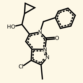 Cc1nn2c(=O)n(Cc3ccccc3)c(C(O)C3CC3)cc2c1Cl